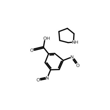 C1CCNCC1.O=Nc1cc(N=O)cc(C(=O)O)c1